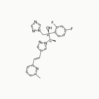 Cc1cccc(C=Cc2cnn([C@H](C)[C@](O)(Cn3cncn3)c3ccc(F)cc3F)c2)n1